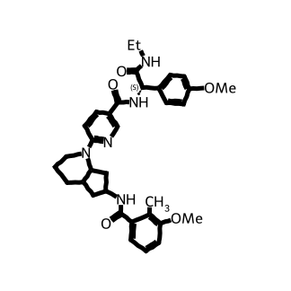 CCNC(=O)[C@@H](NC(=O)c1ccc(N2CCCC3CC(NC(=O)c4cccc(OC)c4C)CC32)nc1)c1ccc(OC)cc1